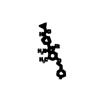 CCn1c2c(c(N)c1-c1ccc(NC(=O)C3CC3)cc1)[C@H](C)CC(OCCN1CCSCC1)=C2